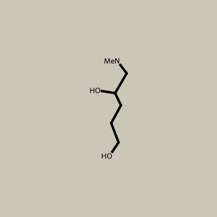 CNCC(O)CCCO